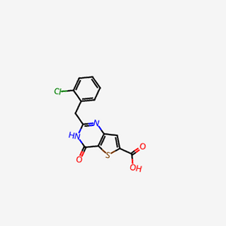 O=C(O)c1cc2nc(Cc3ccccc3Cl)[nH]c(=O)c2s1